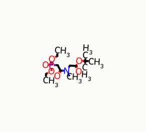 CCOP(=O)(CC(=O)N(C)CC(=O)OC(C)(C)C)OCC